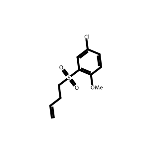 C=CCCS(=O)(=O)c1cc(Cl)ccc1OC